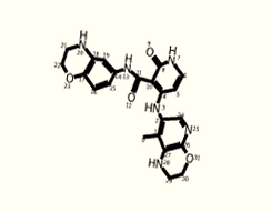 Cc1c(Nc2cc[nH]c(=O)c2C(=O)Nc2ccc3c(c2)NCCO3)cnc2c1NCCO2